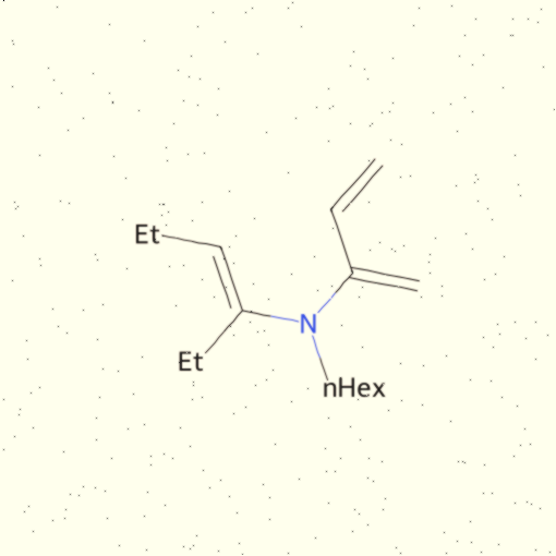 C=CC(=C)N(CCCCCC)/C(=C/CC)CC